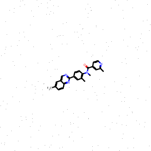 Cc1cc(C(=O)N(C)c2ccc(-c3ncc4cc(C(F)(F)F)ccc4n3)cc2C)ccn1